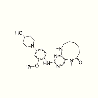 CC(C)Oc1cc(N2CCC(O)CC2)ccc1Nc1ncc2c(n1)N(C)CCCCCC(=O)N2C